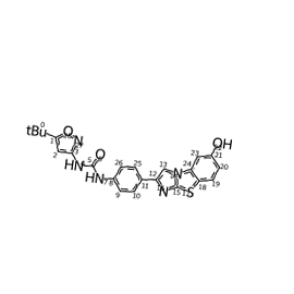 CC(C)(C)c1cc(NC(=O)Nc2ccc(-c3cn4c(n3)sc3ccc(O)cc34)cc2)no1